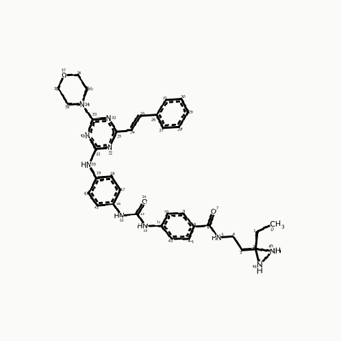 CCC1(CCNC(=O)c2ccc(NC(=O)Nc3ccc(Nc4nc(/C=C/c5ccccc5)nc(N5CCOCC5)n4)cc3)cc2)NN1